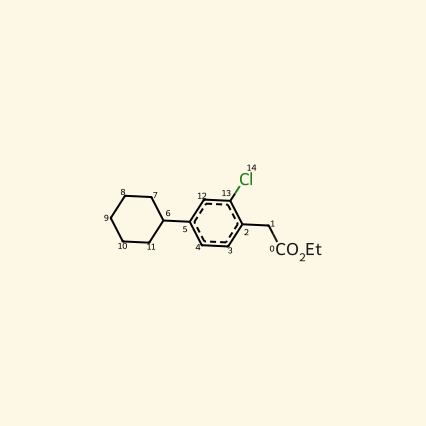 CCOC(=O)Cc1ccc(C2CCCCC2)cc1Cl